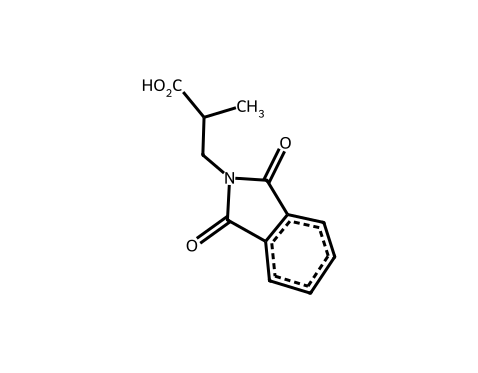 CC(CN1C(=O)c2ccccc2C1=O)C(=O)O